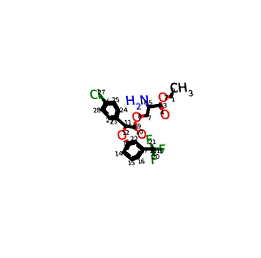 CCOC(=O)C(N)COC(=O)C(Oc1cccc(C(F)(F)F)c1)c1ccc(Cl)cc1